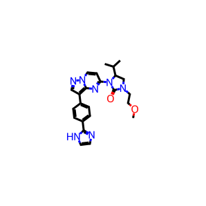 COCCN1CC(C(C)C)N(c2ccn3ncc(-c4ccc(-c5ncc[nH]5)cc4)c3n2)C1=O